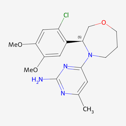 COc1cc(Cl)c([C@H]2COCCCN2c2cc(C)nc(N)n2)cc1OC